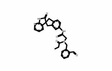 CCC(=O)N(CC(=O)Nc1ccc2c(c1)CC1(C2)C(=O)Nc2ncccc21)Cc1ccccc1C=O